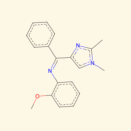 COc1ccccc1N=C(c1ccccc1)c1cn(C)c(C)n1